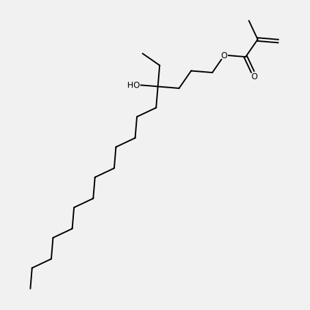 C=C(C)C(=O)OCCCC(O)(CC)CCCCCCCCCCCCC